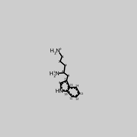 NCCCC(N)Cc1c[nH]c2ccccc12